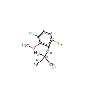 COc1c(F)ccc(F)c1CC(C)(C)C